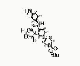 CCC(=O)N1c2cc(C3=CCN(C(=O)OC(C)(C)C)CC3)ccc2[C@H](Nc2ccc(N)cc2)C[C@@H]1C